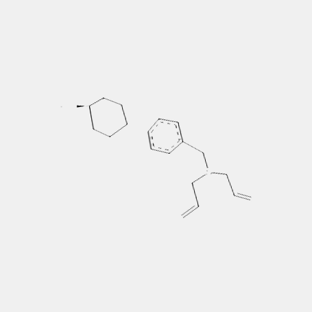 C=CCN(CC=C)Cc1ccc([C@H]2CC[C@H](OC(C)=O)CC2)cc1